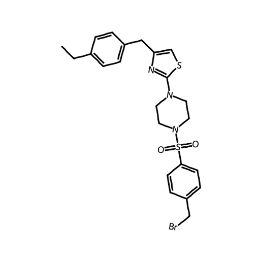 CCc1ccc(Cc2csc(N3CCN(S(=O)(=O)c4ccc(CBr)cc4)CC3)n2)cc1